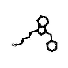 O=C(O)C=CC=Cc1cn(Cc2ccccc2)c2ccccc12